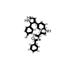 Fc1ccc(C2NNC=C2C2=CN3C(c4noc(-c5ccccc5)n4)=CNC3C=C2)cc1